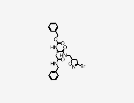 O=C(C[C@H](NC(=O)OCc1ccccc1)C(=O)NCC1CC(Br)=NO1)NCc1ccccc1